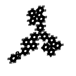 c1ccc(C2(c3ccccc3)c3ccccc3-c3ccc(-c4ccc(N(c5ccc(-c6ccc7c(c6)C(c6ccccc6)(c6ccccc6)c6ccccc6-7)cc5)c5ccc(-c6ccccc6-c6ccccc6-c6ccc(-c7nc8ccccc8o7)cc6)cc5)cc4)cc32)cc1